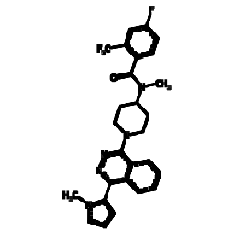 CN(C(=O)c1ccc(F)cc1C(F)(F)F)C1CCN(c2nnc(-c3cccn3C)c3ccccc23)CC1